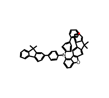 CC1(C)c2ccccc2-c2ccc(-c3ccc(N(c4ccc(-c5ccccc5)cc4)c4cccc5oc6cc7c(cc6c45)-c4ccccc4C7(C)C)cc3)cc21